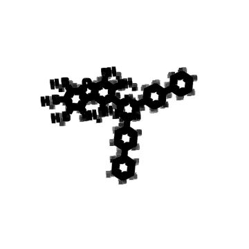 Bc1c(B)c(B)c2c(oc3c(B)c(B)c(-c4nc(-c5ccc(-c6ccccc6)cc5)nc(-c5ccc(-c6ccccc6)cc5)n4)c(B)c32)c1B